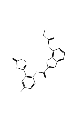 CC(C)(C)CC(=O)Nc1cccc2cc(C(=O)Nc3ccc(Cl)cc3-c3noc(=O)[nH]3)[nH]c12